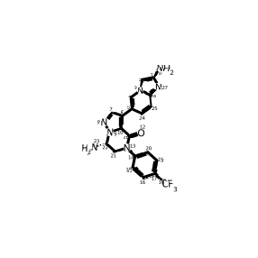 Nc1cn2cc(-c3cnn4c3C(=O)N(c3ccc(C(F)(F)F)cc3)C[C@@H]4N)ccc2n1